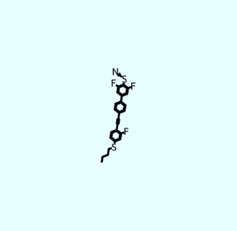 CCCCSc1ccc(C#Cc2ccc(-c3cc(F)c(SC#N)c(F)c3)cc2)c(F)c1